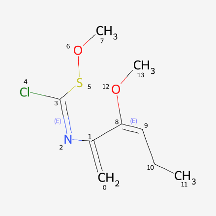 C=C(/N=C(/Cl)SOC)/C(=C\CC)OC